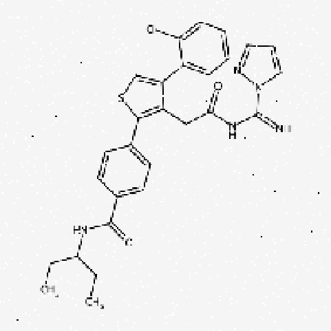 CCC(CC)NC(=O)c1ccc(-c2scc(-c3ccccc3Cl)c2CC(=O)NC(=N)n2cccn2)cc1